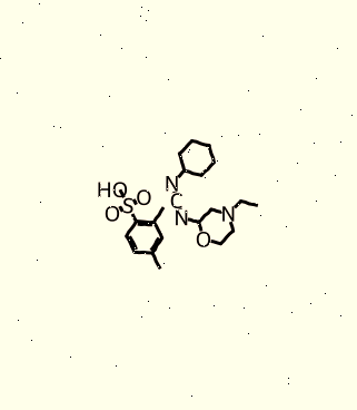 CCN1CCOC(N=C=NC2CCCCC2)C1.Cc1ccc(S(=O)(=O)O)c(C)c1